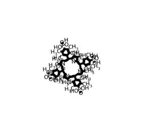 CC1=C(C)c2nc1c(-c1c(C)c(C)c(P(=O)(O)O)c(C)c1C)c1[nH]c(c(C)c1C)c(-c1c(C)c(C)c(P(=O)(O)O)c(C)c1C)c1nc(c(-c3c(C)c(C)c(P(=O)(O)O)c(C)c3C)c3[nH]c(c(C)c3C)c2-c2c(C)c(C)c(P(=O)(O)O)c(C)c2C)C(C)=C1C